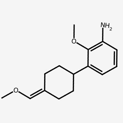 COC=C1CCC(c2cccc(N)c2OC)CC1